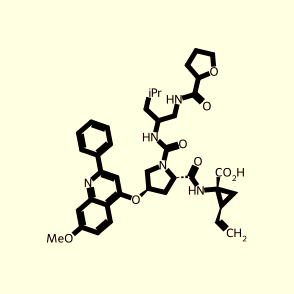 C=C[C@@H]1C[C@]1(NC(=O)[C@@H]1C[C@@H](Oc2cc(-c3ccccc3)nc3cc(OC)ccc23)CN1C(=O)NC(CNC(=O)C1CCCO1)CC(C)C)C(=O)O